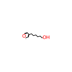 OCCCCCCC1=C[CH]OC=C1